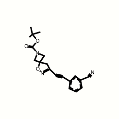 CC(C)(C)OC(=O)N1CC2(CC(C#Cc3cccc(C#N)c3)=NO2)C1